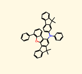 CC1(C)c2ccccc2-c2ccc(N(c3ccccc3)c3cc4c(c5oc6c(-c7ccccc7)cccc6c35)-c3ccccc3C4(C)C)cc21